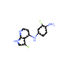 Nc1ccc(Nc2ccnc3[nH]cc(F)c23)cc1F